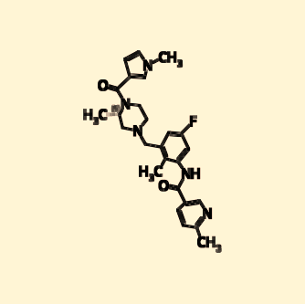 Cc1ccc(C(=O)Nc2cc(F)cc(CN3CCN(C(=O)c4ccn(C)c4)[C@@H](C)C3)c2C)cn1